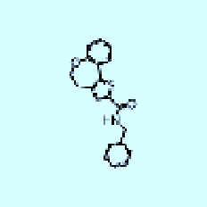 O=C(NCc1ccccc1)c1cc2c(s1)-c1ccccc1OCC2